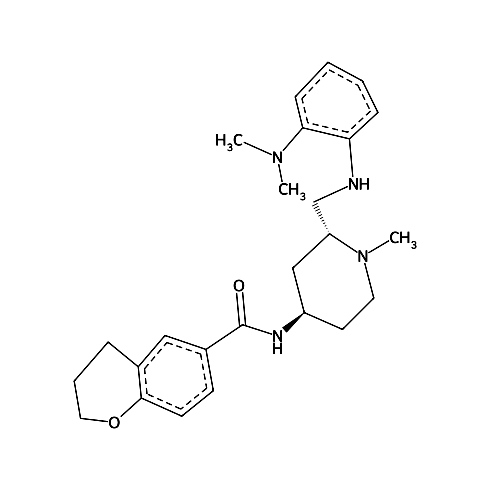 CN(C)c1ccccc1NC[C@H]1C[C@H](NC(=O)c2ccc3c(c2)CCCO3)CCN1C